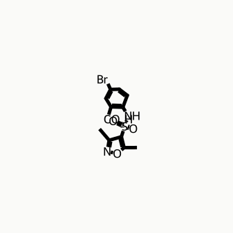 Cc1noc(C)c1S(=O)(=O)Nc1ccc(Br)cc1C(=O)O